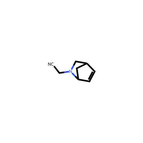 N#CCN1CC2C=CC1C2